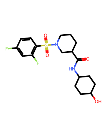 O=C(NC1CCC(O)CC1)C1CCCN(S(=O)(=O)c2ccc(F)cc2F)C1